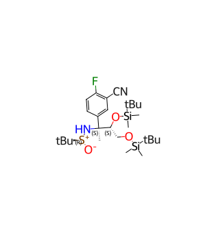 CC(C)(C)[S@+]([O-])N[C@@](C)(c1ccc(F)c(C#N)c1)[C@@H](CO[Si](C)(C)C(C)(C)C)O[Si](C)(C)C(C)(C)C